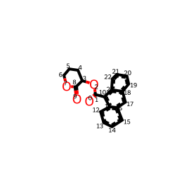 O=C(OC1CCCOC1=O)c1c2ccccc2cc2ccccc12